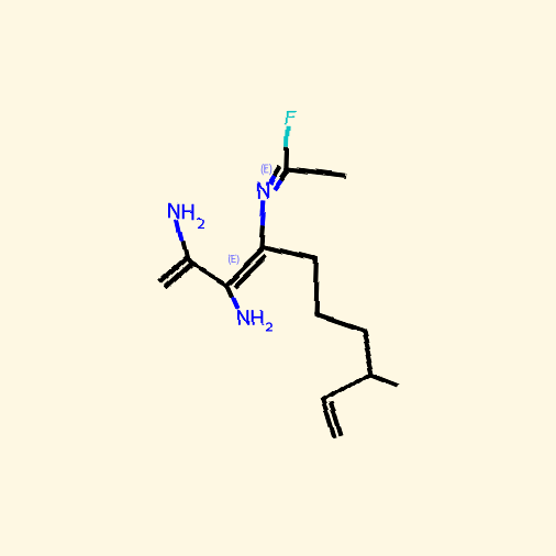 C=CC(C)CCCC(/N=C(\C)F)=C(\N)C(=C)N